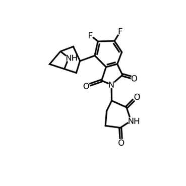 O=C1CCC(N2C(=O)c3cc(F)c(F)c(C4CC5CC(C4)N5)c3C2=O)C(=O)N1